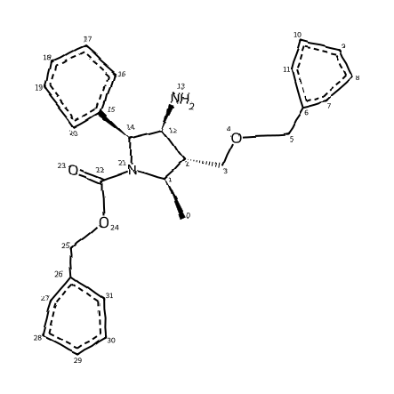 C[C@@H]1[C@@H](COCc2ccccc2)[C@H](N)[C@H](c2ccccc2)N1C(=O)OCc1ccccc1